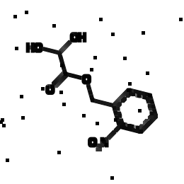 O=C(OCc1ccccc1[N+](=O)[O-])C(O)O